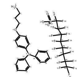 CCCCOc1ccc([S+](c2ccccc2)c2ccccc2)cc1.O=S(=O)([O-])C(F)(F)C(F)(F)C(F)(F)C(F)(F)C(F)(F)C(F)(F)C(F)(F)C(F)(F)F